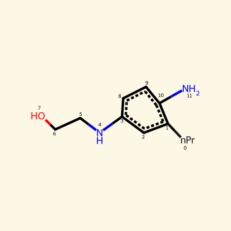 CCCc1cc(NCCO)ccc1N